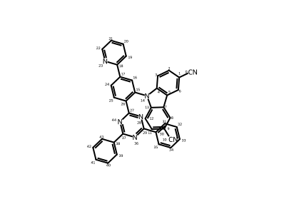 N#Cc1ccc2c(c1)c1cc(C#N)ccc1n2-c1cc(-c2ccccn2)ccc1-c1nc(-c2ccccc2)nc(-c2ccccc2)n1